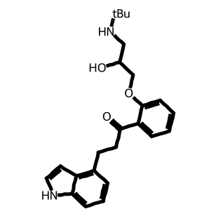 CC(C)(C)NCC(O)COc1ccccc1C(=O)CCc1cccc2[nH]ccc12